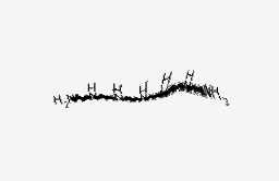 NCCCCCNCCCCCNCCCCCNCCCCCNCCCCCNCCCCCN